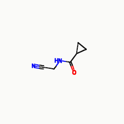 N#CCNC(=O)C1CC1